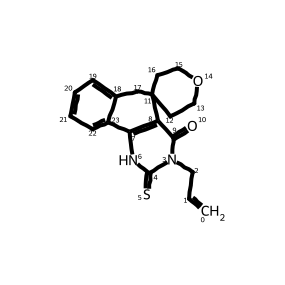 C=CCn1c(=S)[nH]c2c(c1=O)C1(CCOCC1)Cc1ccccc1-2